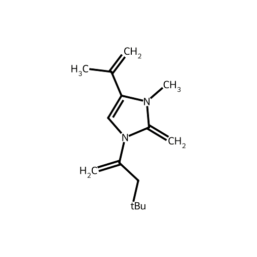 C=C(C)C1=CN(C(=C)CC(C)(C)C)C(=C)N1C